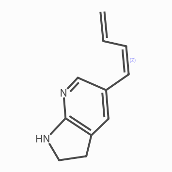 C=C/C=C\c1cnc2c(c1)CCN2